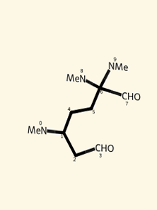 CNC(CC=O)CCC(C=O)(NC)NC